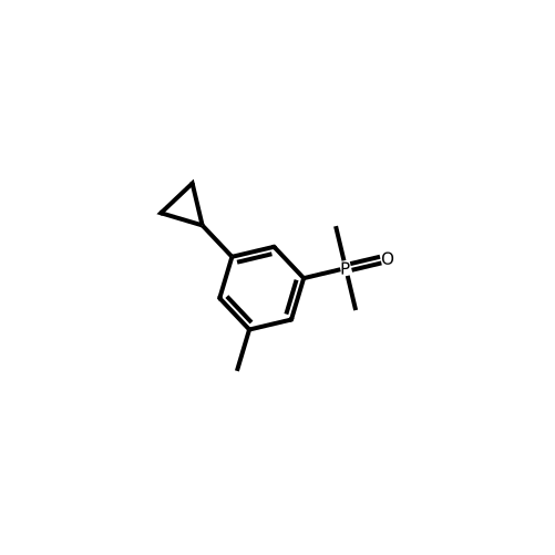 Cc1cc(C2CC2)cc(P(C)(C)=O)c1